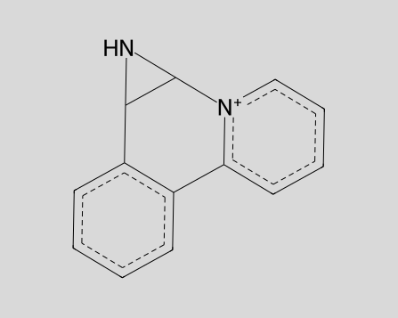 c1ccc2c(c1)-c1cccc[n+]1C1NC21